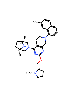 Cc1ccc2cccc(N3CCc4c(nc(OC[C@@H]5CCCN5C)nc4N4C[C@H]5CC[C@@H](C4)N5)C3)c2c1